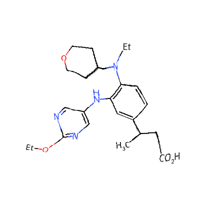 CCOc1ncc(Nc2cc(C(C)CC(=O)O)ccc2N(CC)C2CCOCC2)cn1